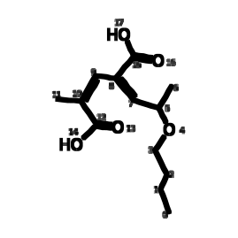 CCCCOC(C)C=C(C=C(C)C(=O)O)C(=O)O